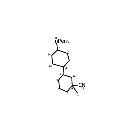 CCCCCC1CCC(C2CCCC(C)(C#N)C2)CC1